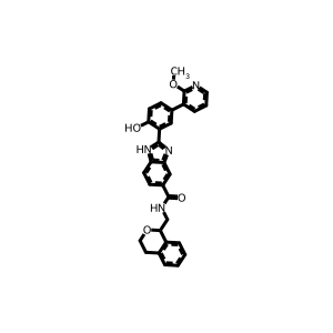 COc1ncccc1-c1ccc(O)c(-c2nc3cc(C(=O)NCC4OCCc5ccccc54)ccc3[nH]2)c1